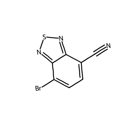 N#Cc1ccc(Br)c2nsnc12